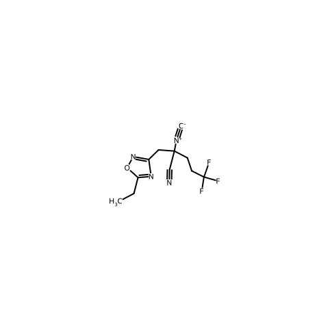 [C-]#[N+]C(C#N)(CCC(F)(F)F)Cc1noc(CC)n1